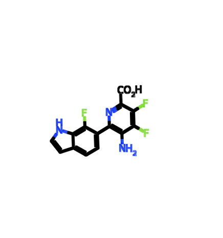 Nc1c(-c2ccc3cc[nH]c3c2F)nc(C(=O)O)c(F)c1F